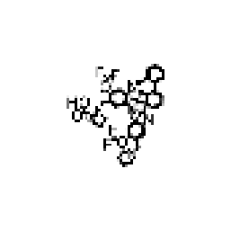 CC1C(c2ccccc2C#N)=CC=CC1(c1nc2cc(CN3CCCC3)c(OC(F)F)cc2o1)c1nc2cc(CN3CCC[C@H]3C(=O)O)c(OC(F)F)cc2o1